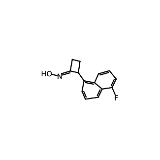 ON=C1CCC1c1cccc2c(F)cccc12